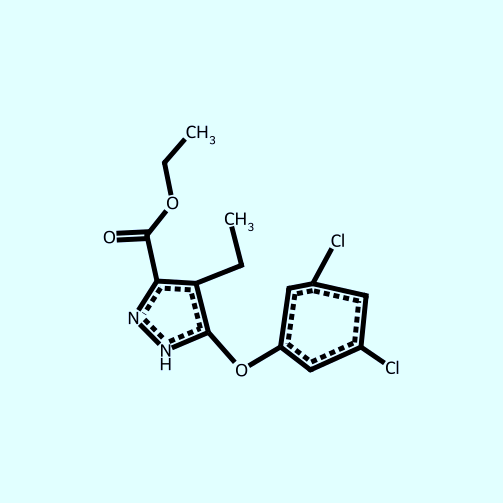 CCOC(=O)c1n[nH]c(Oc2cc(Cl)cc(Cl)c2)c1CC